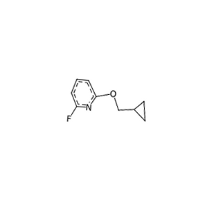 Fc1cccc(OCC2CC2)n1